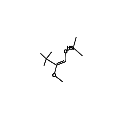 COC(=CO[SiH](C)C)C(C)(C)C